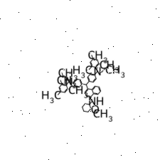 CCCN(c1ccc(C(c2ccc(N(CCC)c3c(C)cc(C)cc3C)cc2)c2ccc(NC3CCCCC3OC)c3ccccc23)cc1)c1c(C)cc(C)cc1C